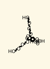 O=C(OCCOCCOCCO)c1ccccc1C(=O)OCCOCCOCCO.O=S(=O)(O)O